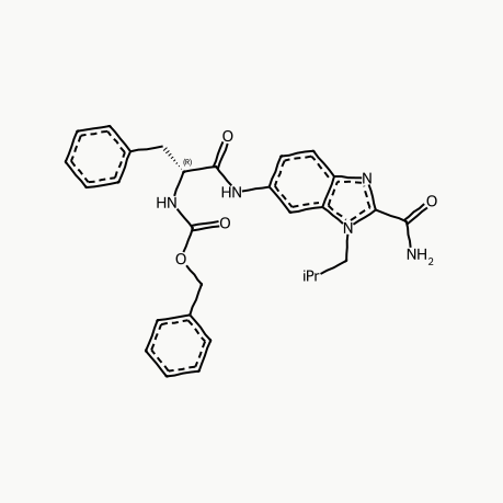 CC(C)Cn1c(C(N)=O)nc2ccc(NC(=O)[C@@H](Cc3ccccc3)NC(=O)OCc3ccccc3)cc21